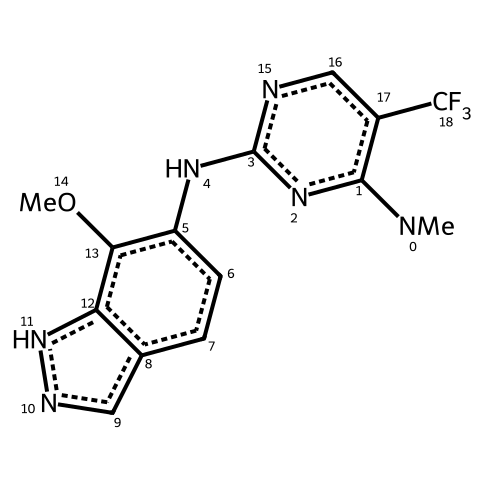 CNc1nc(Nc2ccc3cn[nH]c3c2OC)ncc1C(F)(F)F